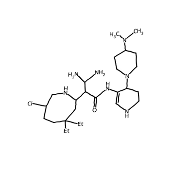 CCC1(CC)CCC(Cl)CNC(C(C(=O)NC2=CNCCC2N2CCC(N(C)C)CC2)C(N)N)C1